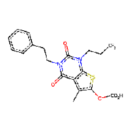 Cc1c(OC(=O)O)sc2c1c(=O)n(CCc1ccccc1)c(=O)n2CCC(F)(F)F